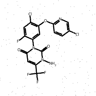 Nn1c(C(F)(F)F)cc(=O)n(-c2cc(Oc3ccc(Cl)cn3)c(Cl)cc2F)c1=O